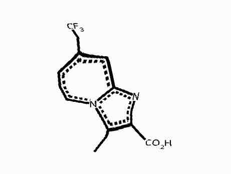 Cc1c(C(=O)O)nc2cc(C(F)(F)F)ccn12